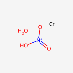 O.O=[N+]([O-])O.[Cr]